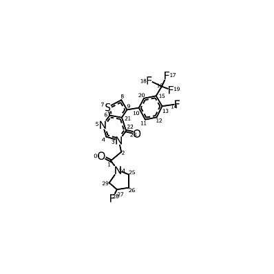 O=C(Cn1cnc2scc(-c3ccc(F)c(C(F)(F)F)c3)c2c1=O)N1CCC(F)C1